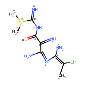 C/C(Cl)=C(N)\N=C(\N)C(=N)C(=O)NC(=N)[SH](C)C